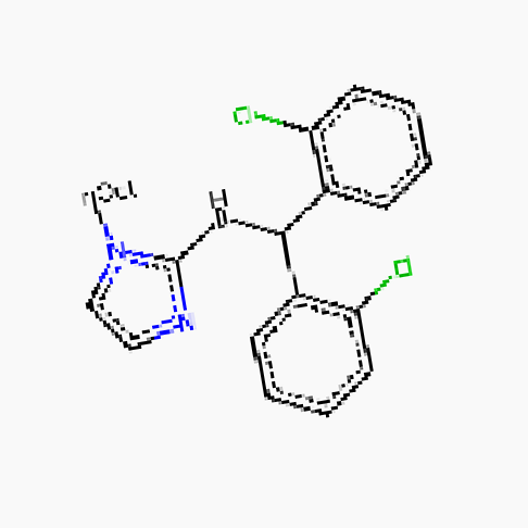 CCCCCCCCn1ccnc1BC(c1ccccc1Cl)c1ccccc1Cl